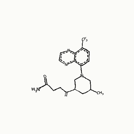 CC1CC(NCCC(N)=O)CN(c2ccc(C(F)(F)F)c3nccnc23)C1